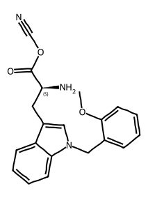 COc1ccccc1Cn1cc(C[C@H](N)C(=O)OC#N)c2ccccc21